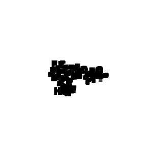 C=CC(=O)N1CCCC(Oc2ccc(C(=C(CC(F)(F)F)c3ccccc3)c3ccc4[nH]nc(F)c4c3)cn2)C1